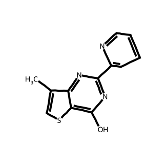 Cc1csc2c(O)nc(-c3ccccn3)nc12